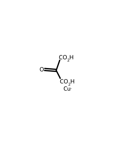 O=C(O)C(=O)C(=O)O.[Cu]